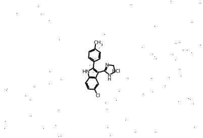 Cc1ccc(-c2[nH]c3ccc(Cl)cc3c2C2=NCCN2)cc1.Cl